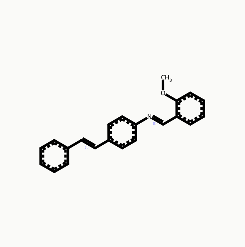 COc1ccccc1/C=N/c1ccc(/C=C/c2ccccc2)cc1